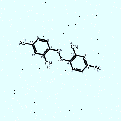 CC(=O)c1ccc(SSc2ccc(C(C)=O)cc2C#N)c(C#N)c1